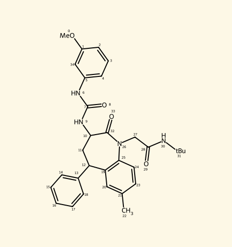 COc1cccc(NC(=O)NC2CC(c3ccccc3)c3cc(C)ccc3N(CC(=O)NC(C)(C)C)C2=O)c1